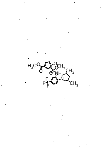 COC(=O)c1ccc(OC)c(S(=O)(=O)Nc2cc(C(F)(F)F)ccc2N2C[C@H](C)C[C@H](C)C2)c1